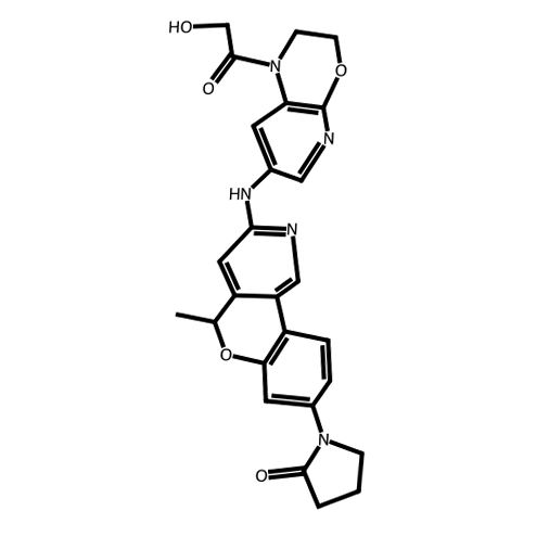 CC1Oc2cc(N3CCCC3=O)ccc2-c2cnc(Nc3cnc4c(c3)N(C(=O)CO)CCO4)cc21